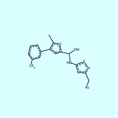 CC(=O)Cc1nsc(NC(O)c2cc(-c3cccc(C(F)(F)F)c3)c(C)o2)n1